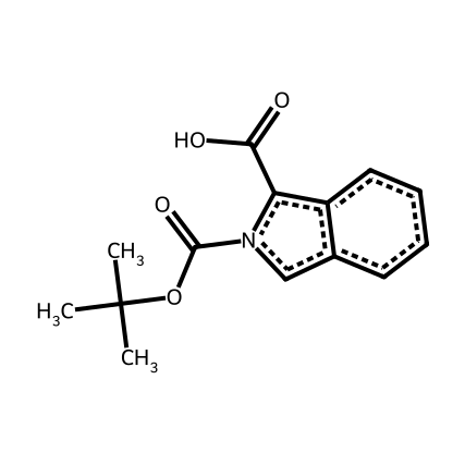 CC(C)(C)OC(=O)n1cc2ccccc2c1C(=O)O